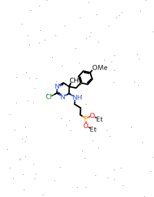 CCOP(CCCNC1N=C(Cl)N=CC1(C)Cc1ccc(OC)cc1)OCC